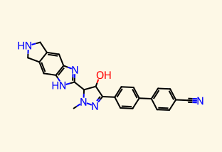 CN1N=C(c2ccc(-c3ccc(C#N)cc3)cc2)C(O)C1c1nc2cc3c(cc2[nH]1)CNC3